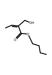 CC=C(CO)C(=O)OCCCC